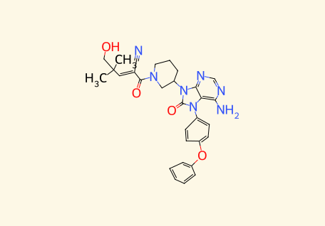 CC(C)(C=C(C#N)C(=O)N1CCCC(n2c(=O)n(-c3ccc(Oc4ccccc4)cc3)c3c(N)ncnc32)C1)CO